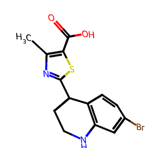 Cc1nc(C2CCNc3cc(Br)ccc32)sc1C(=O)O